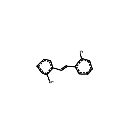 CCCc1ccccc1/C=C/c1ccccc1CCC